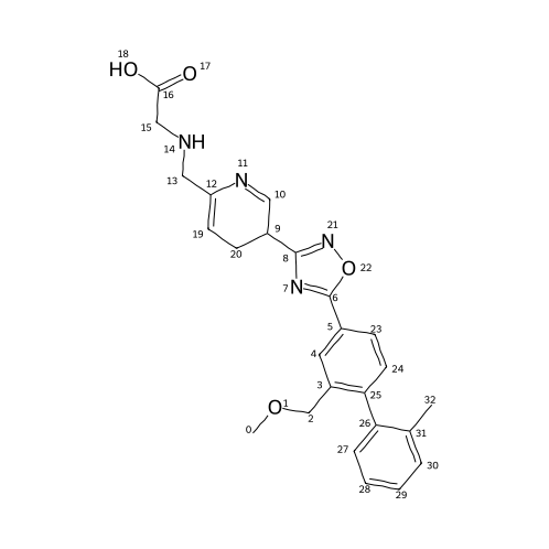 COCc1cc(-c2nc(C3C=NC(CNCC(=O)O)=CC3)no2)ccc1-c1ccccc1C